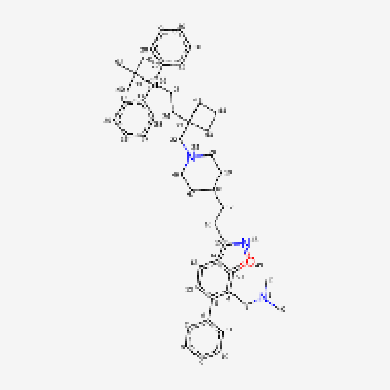 CN(C)Cc1c(-c2ccccc2)ccc2c(CCC3CCN(CC4(CC[Si](c5ccccc5)(c5ccccc5)C(C)(C)C)CCC4)CC3)noc12